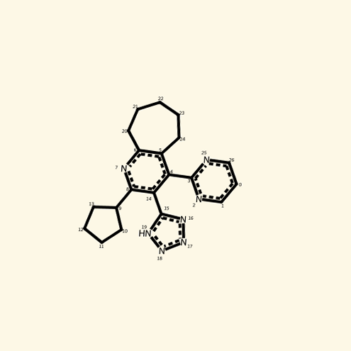 c1cnc(-c2c3c(nc(C4CCCC4)c2-c2nnn[nH]2)CCCCC3)nc1